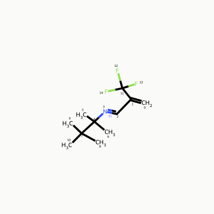 C=C(/C=N/C(C)(C)C(C)(C)C)C(F)(F)F